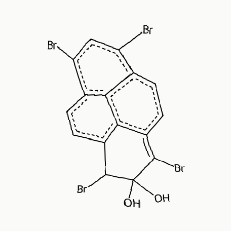 OC1(O)C(Br)=c2ccc3c(Br)cc(Br)c4ccc(c2c43)C1Br